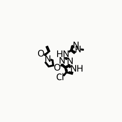 C=CC(=O)N1CC[C@@H](Oc2nc(Nc3cnn(C)c3)nc3[nH]cc(Cl)c23)C1